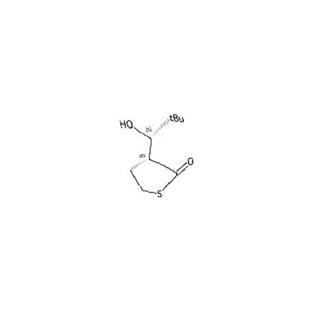 CC(C)(C)[C@@H](O)[C@H]1CCSC1=O